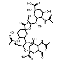 CC(=O)N[C@H]1C(C=O)O[C@@](OC(CO)[C@@H](O)C2O[C@@](OC(CO)[C@@H](O)C3O[C@@](O)(C(=O)O)C[C@@H](O)[C@H]3NC(C)=O)(C(=O)O)C[C@@H](O)[C@H]2NC(C)=O)(C(=O)O)C[C@H]1O